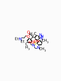 CCN(CC)CCCOC(=O)CC(c1ccc(C)c(CN2CCN(C)c3ccccc3S2(O)O)c1)c1ccc2c(nnn2C)c1C